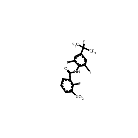 O=C(Nc1c(I)cc(C(F)(C(F)(F)F)C(F)(F)F)cc1I)c1cccc([N+](=O)[O-])c1F